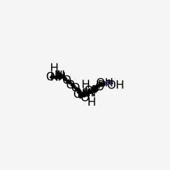 C/C(=C\CCP(O)OCc1ccc(NC(=O)CNC(=O)C(NC(=O)CCOCCOCCOCCn2cc(CNC=O)nn2)C(C)C)cc1)CO